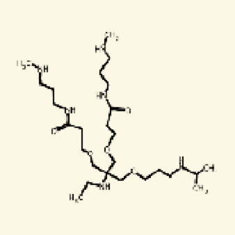 CCNC(COCCCNC(C)C)(COCCC(=O)NCCCNC)COCCC(=O)NCCCNC